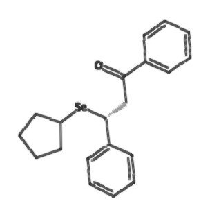 O=C(C[C@@H]([Se]C1CCCC1)c1ccccc1)c1ccccc1